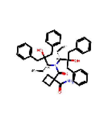 CC(C)C[C@@H](N(C(=O)C1(C(N)=O)CCC1)[C@H](CC(C)C)C(O)(Cc1ccccc1)Cc1ccccc1)C(O)(Cc1ccccc1)Cc1ccccc1